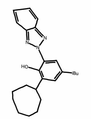 CCC(C)c1cc(C2CCCCCCC2)c(O)c(-n2nc3ccccc3n2)c1